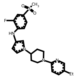 CCc1ccc(N2CCC(n3ccc(Nc4ccc(S(C)(=O)=O)cc4F)c3)CC2)nc1